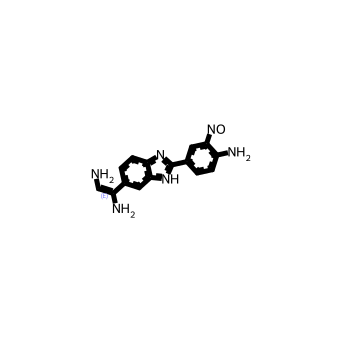 N/C=C(/N)c1ccc2nc(-c3ccc(N)c(N=O)c3)[nH]c2c1